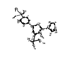 FC(F)(F)c1ccc(-c2cc(C(F)(F)F)nc(-n3ccnc3)n2)cc1